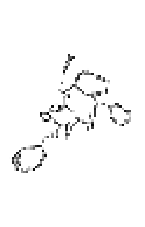 N#CCN1C(=O)C(NC(=O)OCc2ccccc2)N=C(c2ccccc2)c2ccccc21